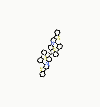 c1ccc([Si](c2ccccc2)(c2cccc3c2sc2c(-c4nccc5c4sc4ccccc45)cccc23)c2cccc3c2sc2c(-c4nccc5c4sc4ccccc45)cccc23)cc1